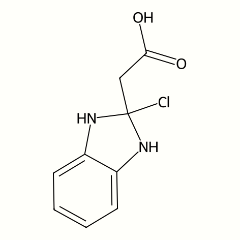 O=C(O)CC1(Cl)Nc2ccccc2N1